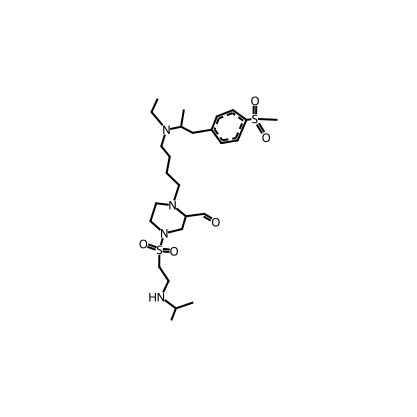 CCN(CCCCN1CCN(S(=O)(=O)CCNC(C)C)CC1C=O)C(C)Cc1ccc(S(C)(=O)=O)cc1